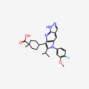 COc1cc(-n2c(C(C)C)c(C3CCC(C)(C(=O)O)CC3)c3nc4[nH]ncc4cc32)ccc1F